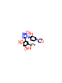 CC(C)c1cc(-c2nnc(O)n2-c2ccc(N3CCOCC3)cc2)c(O)cc1O